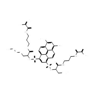 C=C(C)C(=O)NCCCNC(=O)C(CSOOO)NS(=O)(=O)c1cc(S(=O)(=O)NC(CS(=O)(=O)O)C(=O)NCCCNC(=O)C(=C)C)c2ccc3c(O)cc(S(=O)(=O)O)c4ccc1c2c34